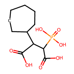 O=C(O)C(C1CCCCCC1)C(C(=O)O)P(=O)(O)O